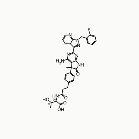 C[C@@H](O)[C@@H](NC(=O)CCc1ccc(C2(C)C(=O)Nc3nc(-c4nn(Cc5ccccc5F)c5ncccc45)nc(N)c32)cc1)C(=O)O